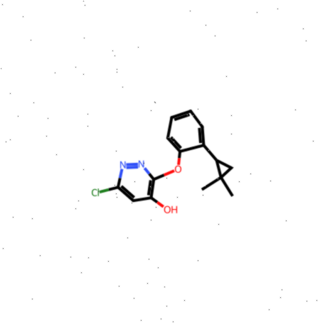 CC1(C)CC1c1ccccc1Oc1nnc(Cl)cc1O